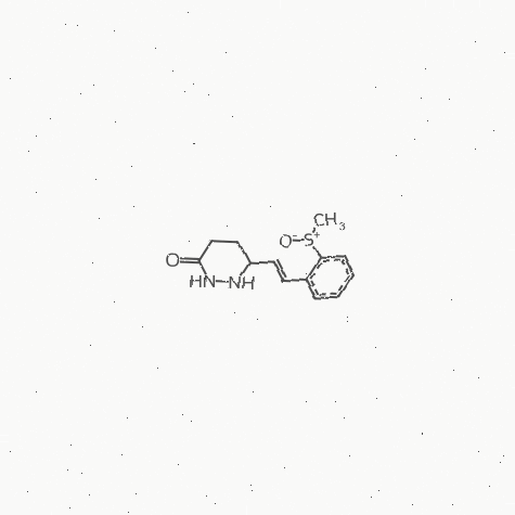 C[S+]([O-])c1ccccc1/C=C/C1CCC(=O)NN1